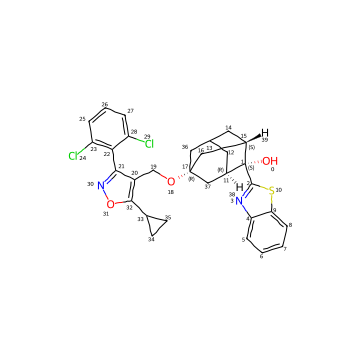 O[C@]1(c2nc3ccccc3s2)[C@@H]2CC3C[C@H]1C[C@](OCc1c(-c4c(Cl)cccc4Cl)noc1C1CC1)(C3)C2